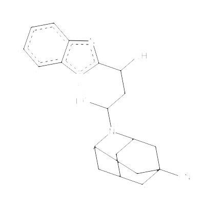 CC(CC(O)N1C2CC3CC1CC(C#N)(C3)C2)c1nc2ccccc2s1